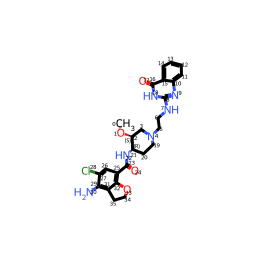 CO[C@H]1CN(CCNc2nc3ccccc3c(=O)[nH]2)CC[C@H]1NC(=O)c1cc(Cl)c(N)c2c1OCC2